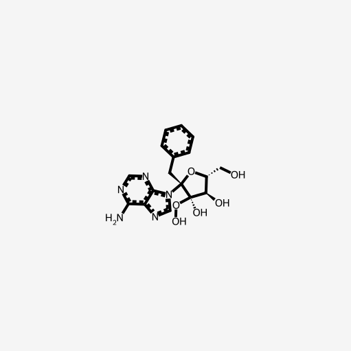 Nc1ncnc2c1ncn2[C@]1(Cc2ccccc2)O[C@H](CO)[C@@H](O)[C@@]1(O)OO